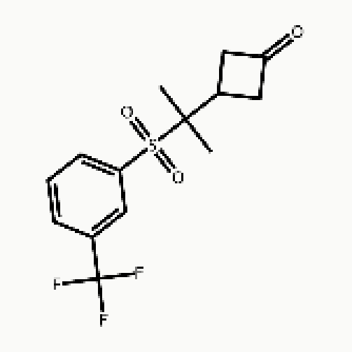 CC(C)(C1CC(=O)C1)S(=O)(=O)c1cccc(C(F)(F)F)c1